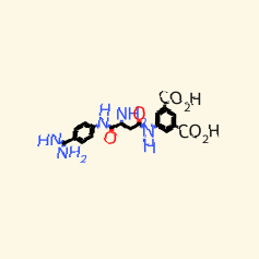 N=C(N)c1ccc(NC(=O)C(N)CC(=O)Nc2cc(C(=O)O)cc(C(=O)O)c2)cc1